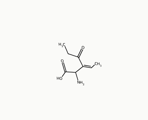 CC=C(C(=O)CC)C(N)C(=O)O